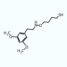 COc1cc(CCNOCCCCS)cc(OC)c1